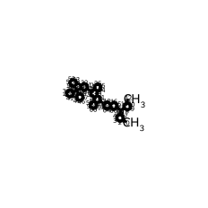 Cc1cccc(N(c2cccc(C)c2)c2ccc3cc(-c4cc5c6ccccc6c(-c6ccc7c(c6)C(c6ccccc6)(c6ccccc6)c6ccccc6-7)cc5c5ccccc45)ccc3c2)c1